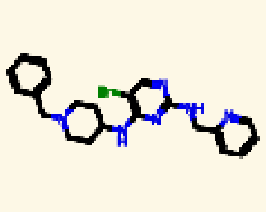 Brc1cnc(NCc2ccccn2)nc1NC1CCN(Cc2ccccc2)CC1